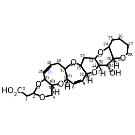 O=C(O)CC1OC[C@H]2O[C@H]3C=C[C@H]4O[C@@H]5C(CC4OC3C/C=C\C2O1)OC1CCCCO[C@@H]1[C@H]5O